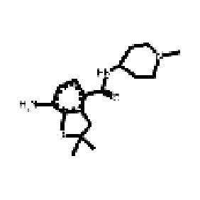 CN1CCC(NC(=O)c2ccc(N)c3c2CC(C)(C)O3)CC1